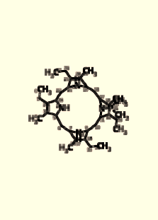 CCC1=C(C)C2CC3NC(CC4C(CC)C(C)C(CC5NC(CC1N2)C(CC)=C5C)N4P(C)C)C(CC)C3C